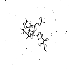 CCOC(=O)C(=O)c1cnc(N[C@H]2O[C@H](COC(C)=O)[C@@H](OC(C)=O)[C@H](OC(C)=O)[C@@H]2OC(C)=O)s1